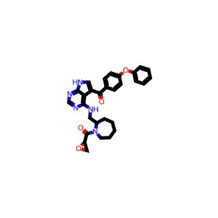 O=C(c1ccc(Oc2ccccc2)cc1)c1c[nH]c2ncnc(NCC3CCCCCN3C(=O)C3CO3)c12